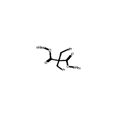 CCCCCCOC(=O)C(CC(C)C)(CC(C)C)C(=O)OCCCCCC